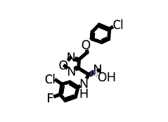 O/N=C(\Nc1ccc(F)c(Cl)c1)c1nonc1COc1ccc(Cl)cc1